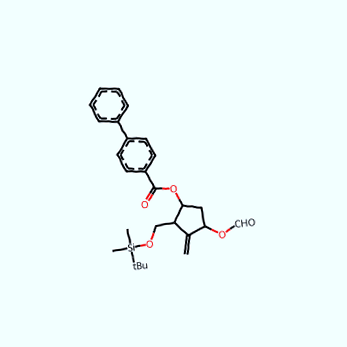 C=C1C(OC=O)CC(OC(=O)c2ccc(-c3ccccc3)cc2)C1CO[Si](C)(C)C(C)(C)C